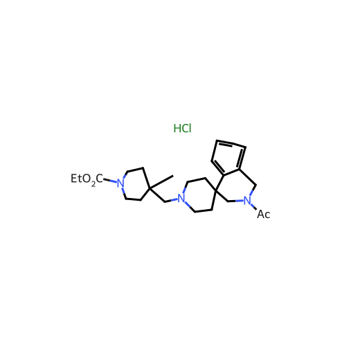 CCOC(=O)N1CCC(C)(CN2CCC3(CC2)CN(C(C)=O)Cc2ccccc23)CC1.Cl